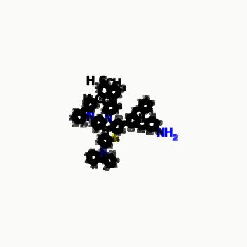 CC1(C)CCC(C)(C)c2c(-c3ccc(N4c5cc(-n6c7ccccc7c7ccccc76)ccc5B5c6ccc(-n7c8ccccc8c8ccccc87)cc6Sc6cc(-c7cc8c9c(c7)Cc7cc(N)ccc7B9c7ccccc7C8)cc4c65)cc3)cccc21